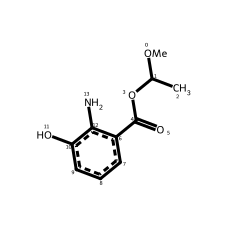 COC(C)OC(=O)c1cccc(O)c1N